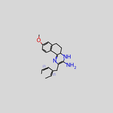 C/C=C\C(=C/C)CC1=C(N)NC2CCc3cc(OC)ccc3C2=N1